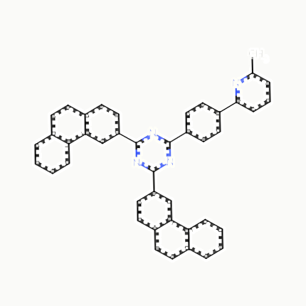 Cc1cccc(-c2ccc(-c3nc(-c4ccc5ccc6ccccc6c5c4)nc(-c4ccc5ccc6ccccc6c5c4)n3)cc2)n1